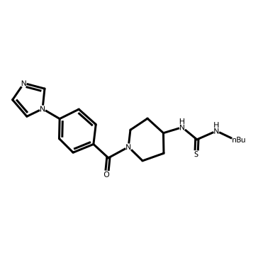 CCCCNC(=S)NC1CCN(C(=O)c2ccc(-n3ccnc3)cc2)CC1